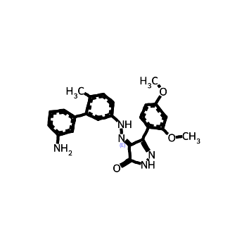 COc1ccc(C2=NNC(=O)/C2=N/Nc2ccc(C)c(-c3cccc(N)c3)c2)c(OC)c1